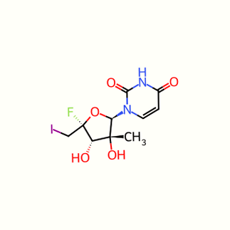 C[C@]1(O)[C@H](n2ccc(=O)[nH]c2=O)O[C@](F)(CI)[C@H]1O